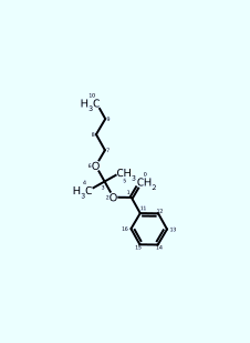 C=C(OC(C)(C)OCCCC)c1ccccc1